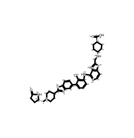 O=C1CC[C@@H](CN2CCC(c3nc4cc(-c5cccc(Nc6nccc7sc(CN[C@H]8CC[C@H](C(=O)O)CC8)nc67)c5Cl)ccc4o3)CC2)N1